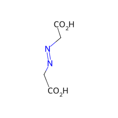 O=C(O)CN=NCC(=O)O